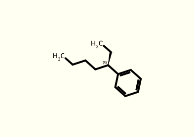 C[CH][C@H](CCCC)c1ccccc1